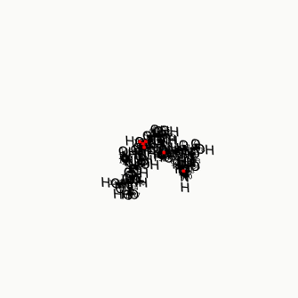 CC(C)C[C@H](NC(=O)[C@H](Cc1ccc(O)cc1)NC(=O)[C@H](CO)NC(=O)[C@H](CO)NC(=O)[C@@H](NC(=O)[C@H](CC(=O)O)NC(=O)[C@H](CO)NC(=O)[C@@H](NC(=O)[C@H](Cc1ccccc1)NC(=O)[C@@H](NC(=O)CNC(=O)[C@H](CCC(=O)O)NC(=O)[C@H](C)NC(=O)[C@H](Cc1c[nH]cn1)NC(=O)C(F)(F)F)[C@@H](C)O)[C@@H](C)O)C(C)C)C(=O)N[C@@H](CCC(=O)O)C(=O)NCC(=O)O